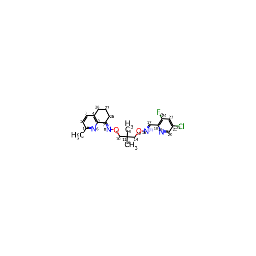 Cc1ccc2c(n1)/C(=N/OCC(C)(C)CO/N=C/c1ncc(Cl)cc1F)CCC2